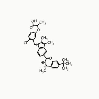 Cc1c(C)n(Cc2cc(OC(C)C(=O)O)ccc2Cl)c2ccc(C(=O)N[C@@H](C)c3ccc(C(C)(C)C)cc3)cc12